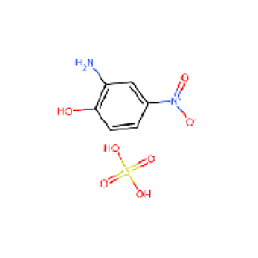 Nc1cc([N+](=O)[O-])ccc1O.O=S(=O)(O)O